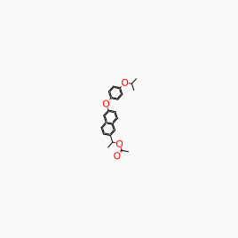 CC(=O)OC(C)c1ccc2cc(Oc3ccc(OC(C)C)cc3)ccc2c1